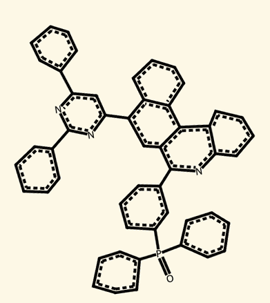 O=P(c1ccccc1)(c1ccccc1)c1cccc(-c2nc3ccccc3c3c2cc(-c2cc(-c4ccccc4)nc(-c4ccccc4)n2)c2ccccc23)c1